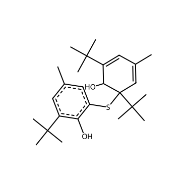 CC1=CC(Sc2cc(C)cc(C(C)(C)C)c2O)(C(C)(C)C)C(O)C(C(C)(C)C)=C1